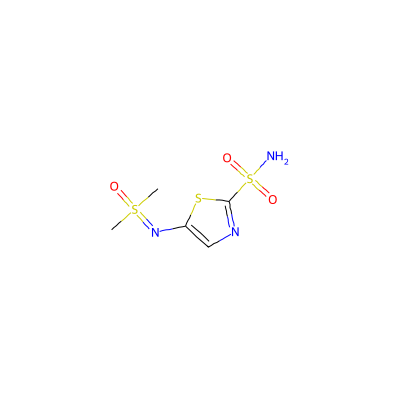 CS(C)(=O)=Nc1cnc(S(N)(=O)=O)s1